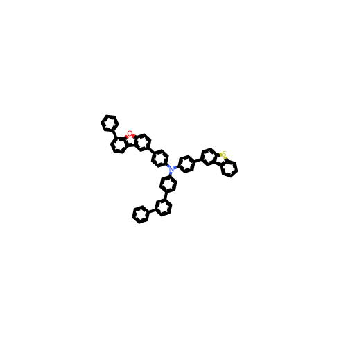 c1ccc(-c2cccc(-c3ccc(N(c4ccc(-c5ccc6oc7c(-c8ccccc8)cccc7c6c5)cc4)c4ccc(-c5ccc6sc7ccccc7c6c5)cc4)cc3)c2)cc1